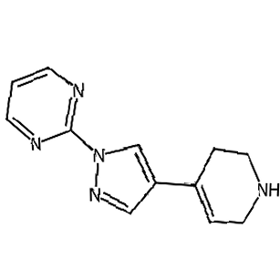 C1=C(c2cnn(-c3ncccn3)c2)CCNC1